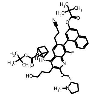 CN1CCC[C@H]1COc1nc2c(F)c(-c3cc(OC(=O)C(C)(C)C)cc4ccccc34)c(CCC#N)cc2c(N[C@H]2C3CC2N(C(=O)OC(C)(C)C)C3)c1CCCO